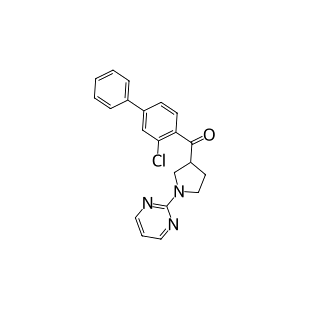 O=C(c1ccc(-c2ccccc2)cc1Cl)C1CCN(c2ncccn2)C1